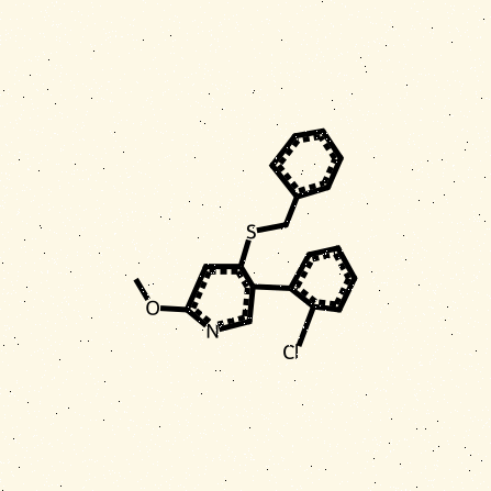 COc1cc(SCc2ccccc2)c(-c2ccccc2Cl)cn1